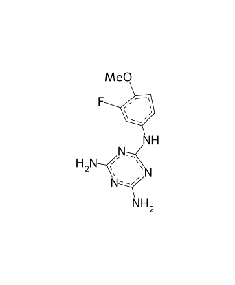 COc1ccc(Nc2nc(N)nc(N)n2)cc1F